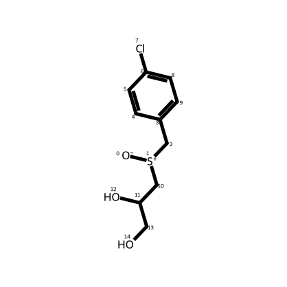 [O-][S+](Cc1ccc(Cl)cc1)CC(O)CO